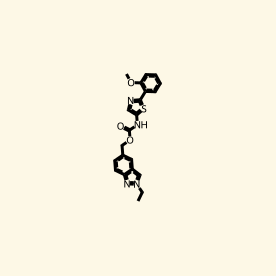 CCn1cc2cc(COC(=O)Nc3cnc(-c4ccccc4OC)s3)ccc2n1